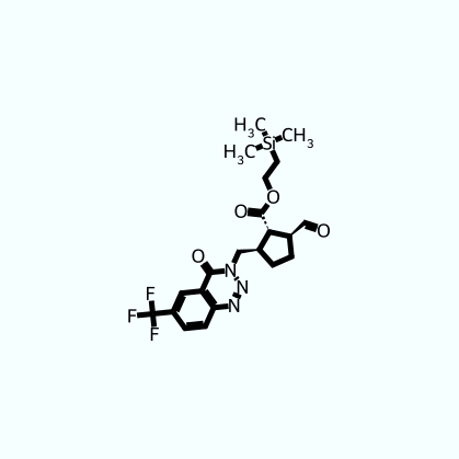 C[Si](C)(C)CCOC(=O)[C@H]1[C@H](Cn2nnc3ccc(C(F)(F)F)cc3c2=O)CC[C@@H]1C=O